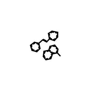 C(=Cc1ccccc1)c1ccccc1.Cc1cccc2ccccc12